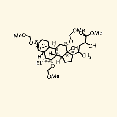 CC[C@H]1[C@@H](OCOC)[C@@H]2[C@H](C[C@H](OCOC)[C@]3(C)[C@@H](C(C)CC(O)C(=O)OC)CC[C@@H]23)[C@@]2(C)CC[C@@H](OCOC)C[C@@H]12